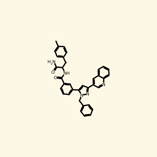 Cc1ccc(CC(NC(=O)c2cccc(-c3cc(-c4cnc5ccccc5c4)nn3Cc3ccccc3)c2)C(N)=O)cc1